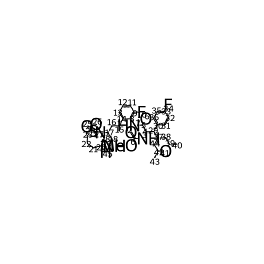 COC(=O)N[C@H](C(=O)Nc1c(F)cccc1CC[C@H]1CN[C@@H]2CCCS(=O)(=O)N1C2)[C@@H](c1ccc(F)cc1)[C@H]1C[C@@H](C)O[C@@H](C)C1